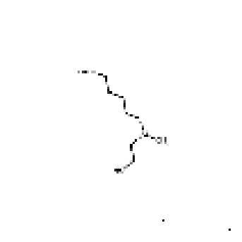 CCCCCCCCCC[S+](C)CCO